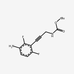 CC(C)(C)OC(=O)NCC#Cc1c(F)ccc(N)c1F